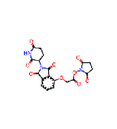 O=C1CCC(N2C(=O)c3cccc(OCC(=O)ON4C(=O)CCC4=O)c3C2=O)C(=O)N1